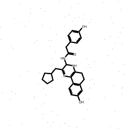 O=C(Cc1ccc(O)cc1)NC1NC2=C(N=C1CC1CCCC1)c1ccc(O)cc1CC2